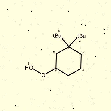 CC(C)(C)C1(C(C)(C)C)CCCC(OO)C1